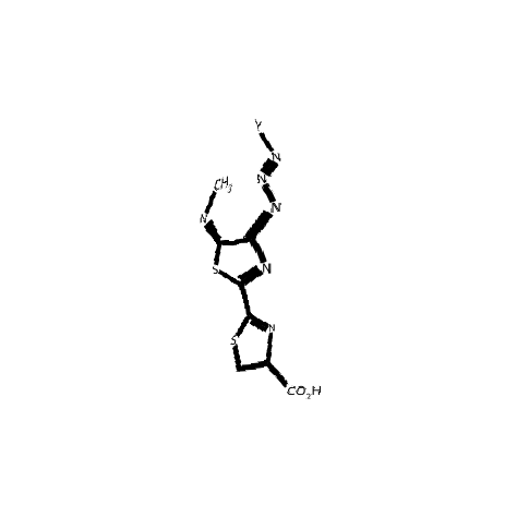 C/N=C1/SC(C2=NC(C(=O)O)CS2)=N/C1=N/N=[N]/[Y]